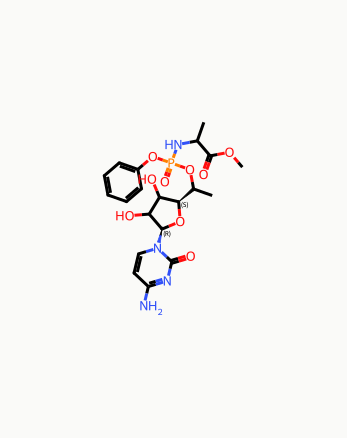 COC(=O)C(C)NP(=O)(Oc1ccccc1)OC(C)[C@H]1O[C@@H](n2ccc(N)nc2=O)C(O)C1O